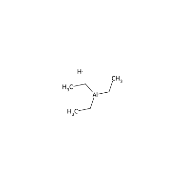 C[CH2][Al]([CH2]C)[CH2]C.[H]